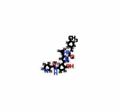 Cc1ccc(CNC(=O)n2nc(-c3cc(NC(=O)c4cccnc4)ccc3O)cc2C2CC2)cc1